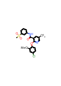 COc1cc(Cl)ccc1Oc1ncc(C(F)(F)F)cc1C(=O)Nc1cccc(S(C)(=O)=O)c1